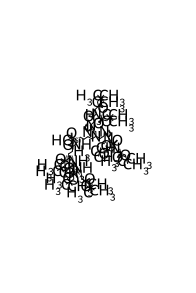 CC(C)(C)OC(=O)CC[C@@H](NC(=O)N[C@H](CCC(=O)N[C@@H](CCCCN(Cc1nccn1CC(=O)N(CC(=O)OC(C)(C)C)CC(=O)OC(C)(C)C)Cc1nccn1CC(=O)N(CC(=O)OC(C)(C)C)CC(=O)OC(C)(C)C)C(=O)O)C(=O)OC(C)(C)C)C(=O)OC(C)(C)C